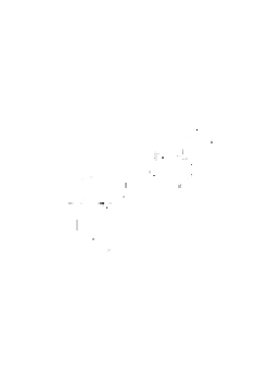 Cc1ccc(CC2CC(C(F)(F)F)N(C(=O)O)C2=O)nn1